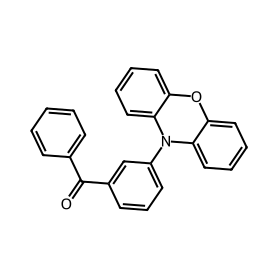 O=C(c1ccccc1)c1cccc(N2c3ccccc3Oc3ccccc32)c1